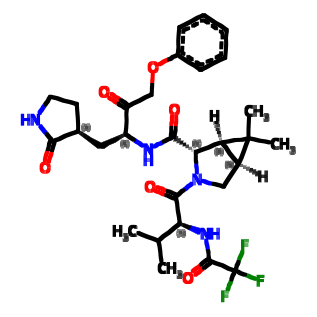 CC(C)[C@H](NC(=O)C(F)(F)F)C(=O)N1C[C@H]2[C@@H]([C@H]1C(=O)N[C@@H](C[C@@H]1CCNC1=O)C(=O)COc1ccccc1)C2(C)C